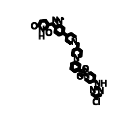 Cn1nc(C2CCC(=O)NC2=O)c2ccc(C3CCN(CC4CCN(c5cccc(S(=O)(=O)N6CCC(Nc7ncc(Cl)cn7)CC6)c5)CC4)CC3)cc21